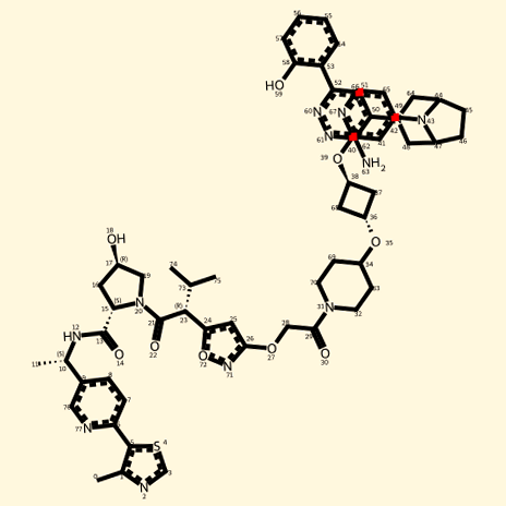 Cc1ncsc1-c1ccc([C@H](C)NC(=O)[C@@H]2C[C@@H](O)CN2C(=O)[C@@H](c2cc(OCC(=O)N3CCC(O[C@H]4C[C@H](Oc5cc(N6C7CCC6CN(c6cc(-c8ccccc8O)nnc6N)C7)ccn5)C4)CC3)no2)C(C)C)cn1